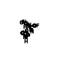 C[S+]([O-])c1ccc(-c2nc(-c3ccc(F)cc3)c(-c3ccncc3)[nH]2)cc1.O=C1c2ccccc2-c2n[nH]c3cccc1c23